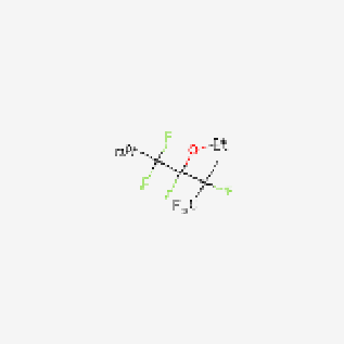 CCCC(F)(F)C(F)(OCC)C(C)(F)C(F)(F)F